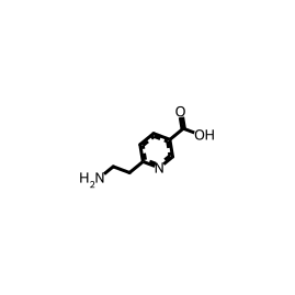 NCCc1ccc(C(=O)O)cn1